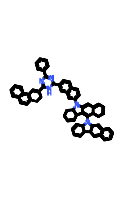 C1=CCC2C(=C1)C=C1C(=C2N2C3C=CC=CC3C3C=c4ccccc4=CC32)C2C=CCCC2N1c1ccc2ccc(C3N=C(c4ccccc4)N=C(C4=Cc5c(ccc6ccccc56)CC4)N3)cc2c1